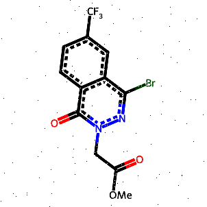 COC(=O)Cn1nc(Br)c2cc(C(F)(F)F)ccc2c1=O